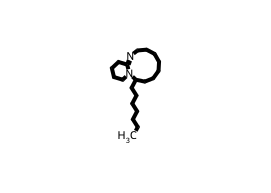 CCCCCCCC1CCCCCCC/N=C2/CCCCN21